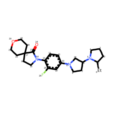 CCC1CCCN1C1CCN(c2ccc(N3CCC4(CCOCC4)C3=O)c(F)c2)C1